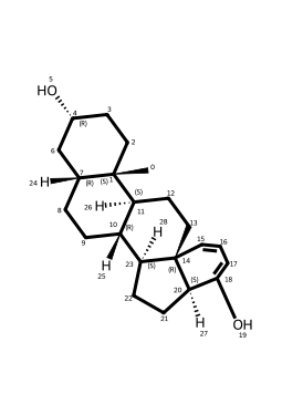 C[C@]12CC[C@@H](O)C[C@H]1CC[C@@H]1[C@@H]2CC[C@@]23C=CC=C(O)[C@H]2CC[C@@H]13